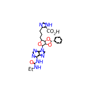 CCNC(=O)Nc1ncnc2c1ncn2C1OC(CCCc2nc[nH]c2C(=O)O)C2O[C@H](c3ccccc3)OC21